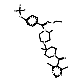 CCON=C(c1ccc(OC(F)(F)F)cc1)N1CCN(C2(C)CCN(C(=O)c3c(C)ncnc3C)CC2)CC1C